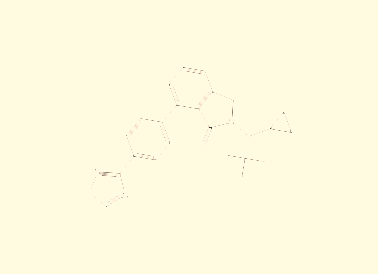 CC(C)(O)[C@@H](C1CC1)N1Cc2cccc(-c3ccc(-c4ncon4)cc3)c2C1=O